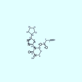 C#CCC(=O)OC1CCN(C)C(=O)N1c1nnc(C2CCCC2)s1